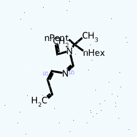 C=C/C=C\N=C/N(C=C)C(C)(CCCCC)CCCCCC